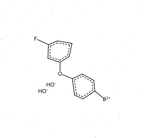 [B+2]c1ccc(Oc2cccc(F)c2)cc1.[OH-].[OH-]